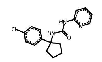 O=C(Nc1ccccn1)NC1(c2ccc(Cl)cc2)CCCC1